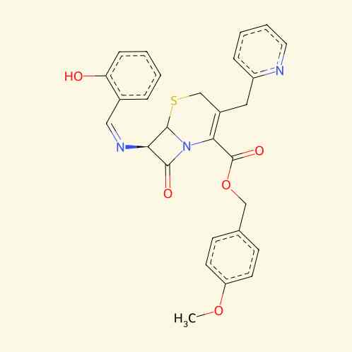 COc1ccc(COC(=O)C2=C(Cc3ccccn3)CSC3[C@H](/N=C\c4ccccc4O)C(=O)N23)cc1